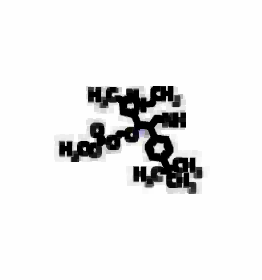 CCn1nc(C)cc1/C(OCOC(=O)OC)=C(\C=N)c1ccc(C(C)(C)C)cc1